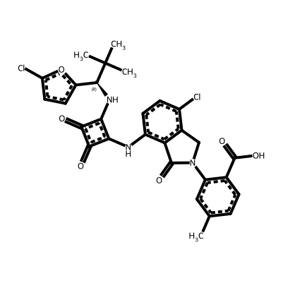 Cc1ccc(C(=O)O)c(N2Cc3c(Cl)ccc(Nc4c(N[C@@H](c5ccc(Cl)o5)C(C)(C)C)c(=O)c4=O)c3C2=O)c1